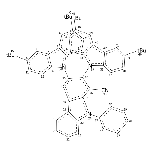 CC(C)(C)c1ccc2c(c1)c1cc(C(C)(C)C)ccc1n2-c1cc2c3ccccc3n(-c3ccccc3)c2c(C#N)c1-n1c2ccc(C(C)(C)C)cc2c2cc(C(C)(C)C)ccc21